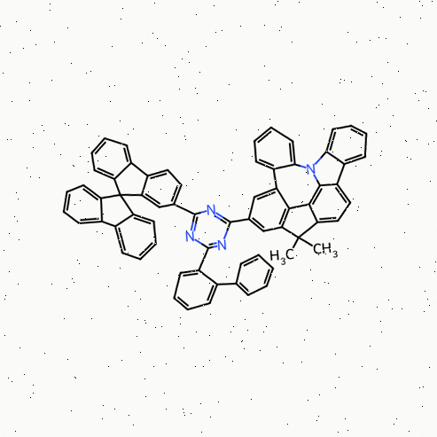 CC1(C)c2cc(-c3nc(-c4ccc5c(c4)C4(c6ccccc6-c6ccccc64)c4ccccc4-5)nc(-c4ccccc4-c4ccccc4)n3)cc3c2-c2c1ccc1c4ccccc4n(c21)-c1ccccc1-3